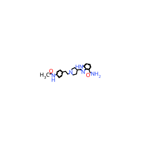 CC(=O)Nc1ccc(CCN2CCC(c3nc4c(C(N)=O)cccc4[nH]3)CC2)cc1